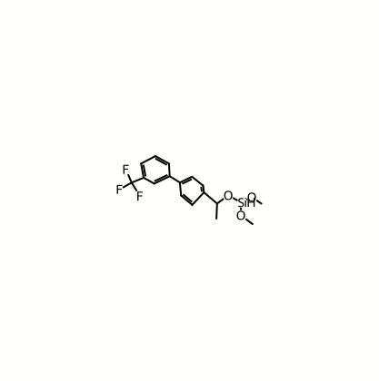 CO[SiH](OC)OC(C)c1ccc(-c2cccc(C(F)(F)F)c2)cc1